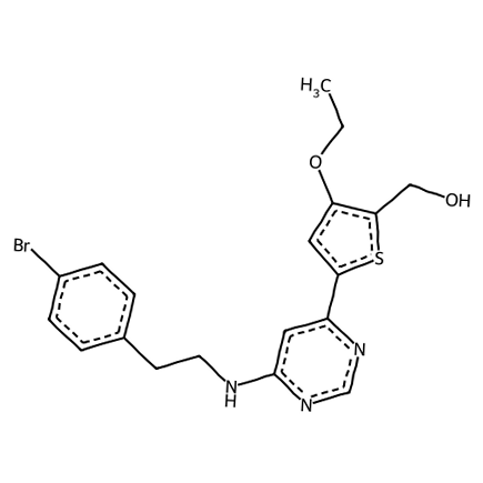 CCOc1cc(-c2cc(NCCc3ccc(Br)cc3)ncn2)sc1CO